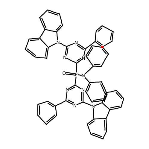 O=P(c1nc(-c2ccccc2)nc(-n2c3ccccc3c3ccccc32)n1)(c1nc(-c2ccccc2)nc(-n2c3ccccc3c3ccccc32)n1)N(c1ccccc1)c1ccccc1